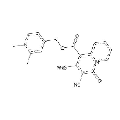 CSc1c(C#N)c(=O)n2ccccc2c1C(=O)OCc1ccc(C)c(C)c1